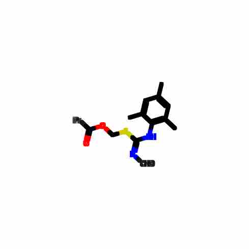 Cc1cc(C)c(N/C(=N\C=O)SCOC(=O)C(C)C)c(C)c1